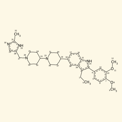 CCc1c(-c2ccc(OC)c(OC)c2)[nH]c2ccc(C3CCN(C4CCN(Cc5cnc(C)[nH]5)CC4)CC3)cc12